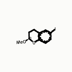 CO[C@H]1CCc2cc(I)ccc2O1